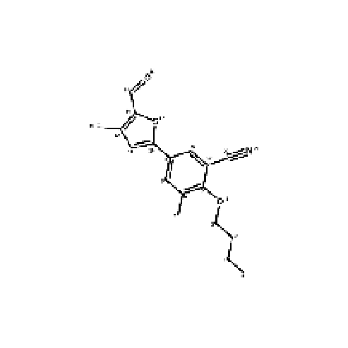 CCCCOc1c(C)cc(-c2cc(F)c(C=O)s2)cc1C#N